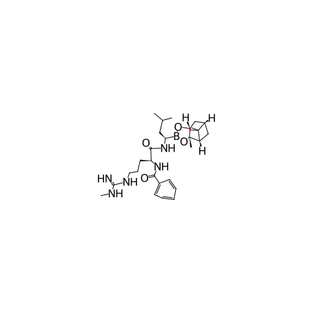 CNC(=N)NCCC[C@H](NC(=O)c1ccccc1)C(=O)N[C@@H](CC(C)C)B1O[C@@H]2C[C@@H]3C[C@@H](C3(C)C)[C@]2(C)O1